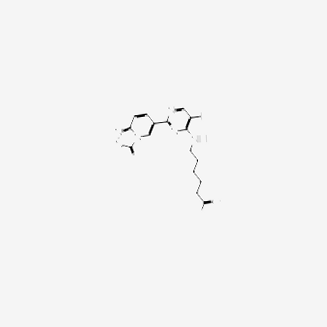 O=C(O)CCCCCNc1nc(-c2ccc3n[nH]c(=O)n3c2)ncc1F